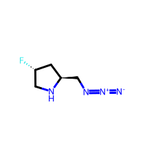 [N-]=[N+]=NC[C@@H]1C[C@@H](F)CN1